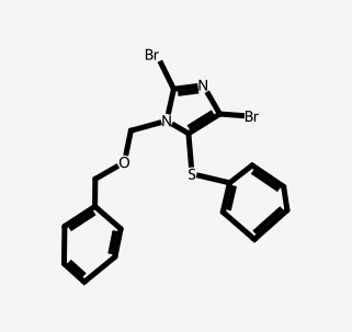 Brc1nc(Br)n(COCc2ccccc2)c1Sc1ccccc1